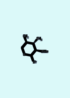 CO[C@H]1C(C(C)C)OC[C@@H](C)[C@@H]1C